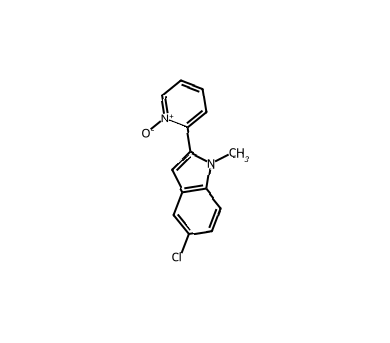 Cn1c(-c2cccc[n+]2[O-])cc2cc(Cl)ccc21